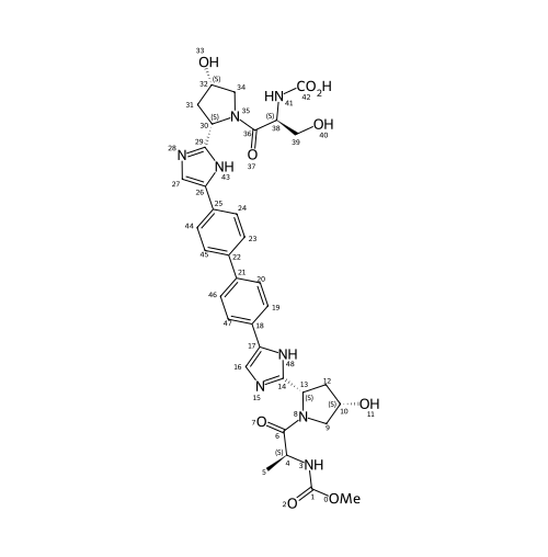 COC(=O)N[C@@H](C)C(=O)N1C[C@@H](O)C[C@H]1c1ncc(-c2ccc(-c3ccc(-c4cnc([C@@H]5C[C@H](O)CN5C(=O)[C@H](CO)NC(=O)O)[nH]4)cc3)cc2)[nH]1